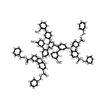 [C-]#[N+]c1cccc(-c2cc(-n3c4ccc(C(=O)OCc5ccccc5)cc4c4cc(C(=O)OCc5ccccc5)ccc43)ccc2-c2nc(-c3ccc(-c4ccccc4C#N)cc3)nc(-c3ccc(-n4c5ccc(C(=O)OCc6ccccc6)cc5c5cc(C(=O)OCc6ccccc6)ccc54)cc3-c3cccc(C#N)c3)n2)c1